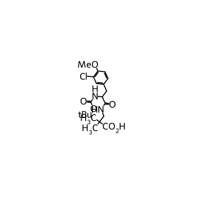 COc1ccc(CC(NC(=O)OC(C)(C)C)C(=O)NCC(C)(C)C(=O)O)cc1Cl